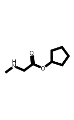 CNCC(=O)OC1CCCC1